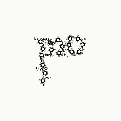 CCc1ccc(C(Cl)c2ccc(-c3ccc(Cl)cc3)cc2)cc1.COc1ccc(Oc2ccc(C(Br)C(C)(C)C)cc2)cc1.COc1cccc(C(Cl)c2ccc(Sc3ccccc3C)cc2)c1.Cc1cc(Cl)ccc1S(=O)(=O)c1ccc(C(Br)c2cccc(Br)c2)cc1.ClC(c1ccccc1)c1ccc(-c2ccccc2)cc1.FC(F)(F)c1ccc(C(Br)c2ccc(Sc3ccc(Br)cc3)cc2)cc1